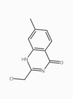 Cc1ccc2c(=O)nc(CCl)[nH]c2c1